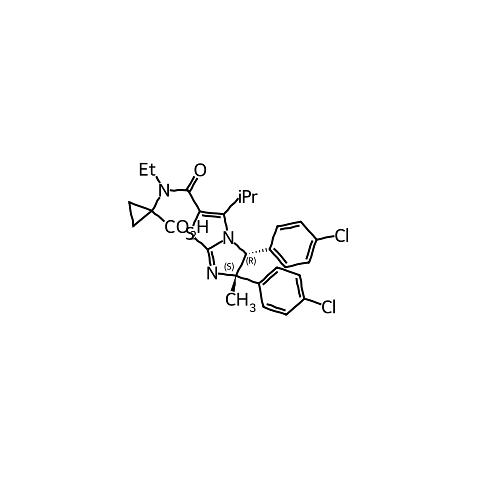 CCN(C(=O)C1=C(C(C)C)N2C(=N[C@@](C)(c3ccc(Cl)cc3)[C@H]2c2ccc(Cl)cc2)S1)C1(C(=O)O)CC1